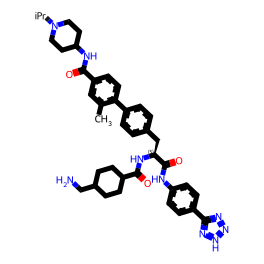 Cc1cc(C(=O)NC2CCN(C(C)C)CC2)ccc1-c1ccc(C[C@H](NC(=O)C2CCC(CN)CC2)C(=O)Nc2ccc(-c3nn[nH]n3)cc2)cc1